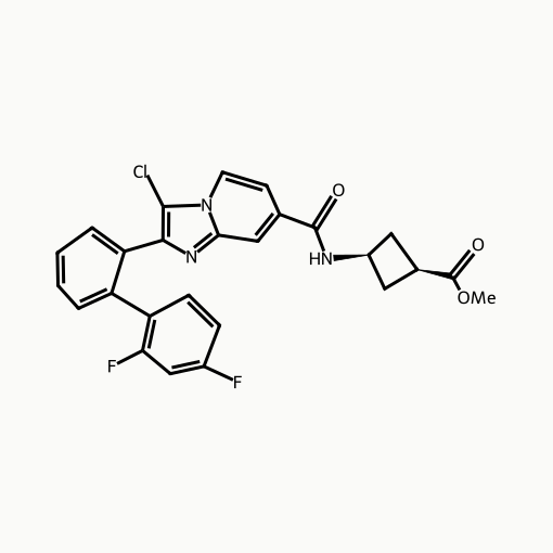 COC(=O)[C@H]1C[C@@H](NC(=O)c2ccn3c(Cl)c(-c4ccccc4-c4ccc(F)cc4F)nc3c2)C1